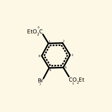 CCOC(=O)c1ccc(C(=O)OCC)c(Br)c1